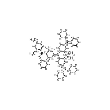 Cc1cc(C)c(B2Sc3ccccc3-c3cc(N4c5ccc(N(c6ccccc6)c6ccccc6)cc5C(C)(C)c5cc(N(c6ccccc6)c6ccccc6)ccc54)ccc32)c(C)c1